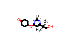 CC(C)(CO)c1cc(OC2CCC(=O)CC2)nc(C(F)(F)F)n1